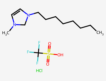 CCCCCCCCN1C=CN(C)C1.Cl.O=S(=O)(O)C(F)(F)F